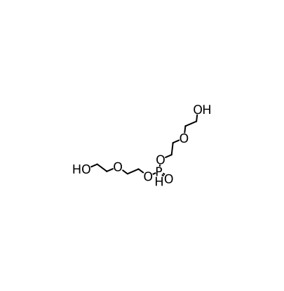 O=[PH](OCCOCCO)OCCOCCO